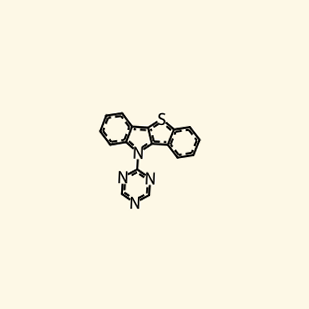 c1ccc2c(c1)sc1c3ccccc3n(-c3ncncn3)c21